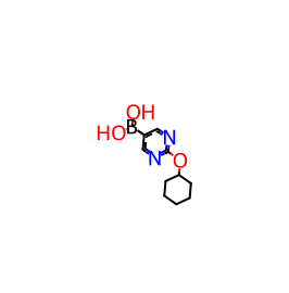 OB(O)c1cnc(OC2CCCCC2)nc1